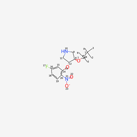 CC(C)(C)[Si](C)(C)O[C@@H]1CNC[C@H]1Oc1cc(F)ccc1[N+](=O)[O-]